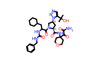 CC(C)(O)c1cnnn1[C@H]1C[C@@H](C(=O)NC2(C(=O)C(N)=O)CCOCC2)N(C(=O)C(CC2CCCCC2)NC(=O)NCc2ccccc2)C1